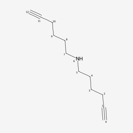 C#CCCCCNCCCCC#C